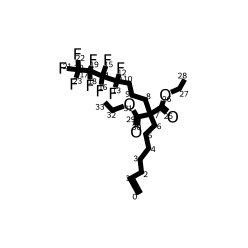 C=CCCCCCC(CCCC(F)(F)C(F)(F)C(F)(F)C(F)(F)F)(C(=O)OCC)C(=O)OCC